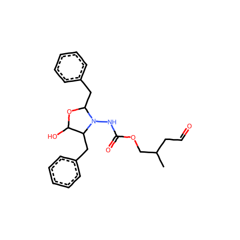 CC(CC=O)COC(=O)NN1C(Cc2ccccc2)OC(O)C1Cc1ccccc1